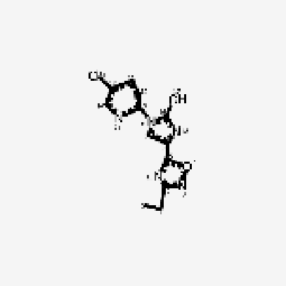 CCc1noc(-c2cn(-c3ccc(Cl)cn3)c(O)n2)n1